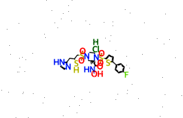 Cl.O=C(NO)[C@H]1CN(S(=O)(=O)CC(S)Cc2ncc[nH]2)CCN1S(=O)(=O)c1ccc(-c2ccc(F)cc2)s1